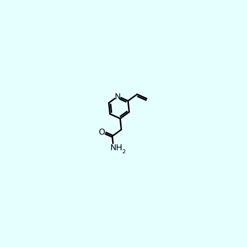 C=Cc1cc(CC(N)=O)ccn1